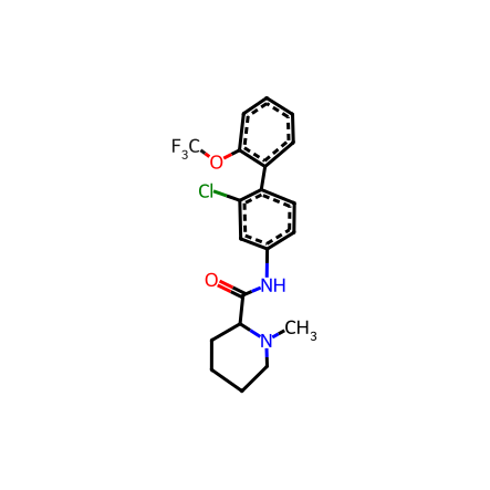 CN1CCCCC1C(=O)Nc1ccc(-c2ccccc2OC(F)(F)F)c(Cl)c1